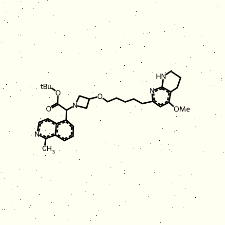 COc1cc(CCCCCOC2CN(C(C(=O)OC(C)(C)C)c3cccc4c(C)nccc34)C2)nc2c1CCCN2